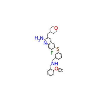 CCOc1ccccc1CNCc1cccc(Sc2cc3cc(CC4CCOCC4)c(N)nc3cc2F)c1